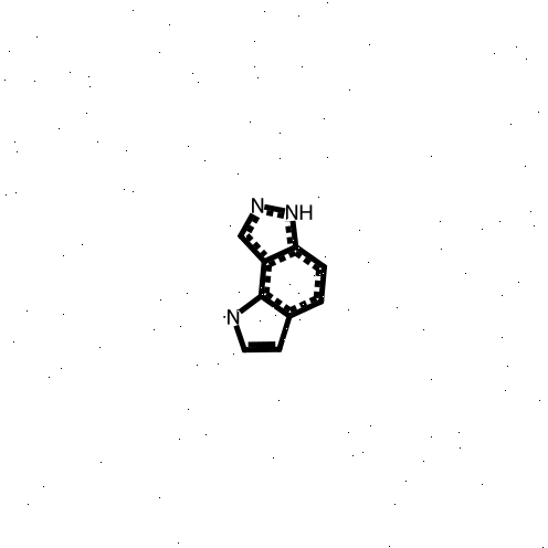 C1=Cc2ccc3[nH]ncc3c2[N]1